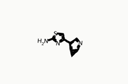 Nc1nc(-c2cnc3cc2-3)cs1